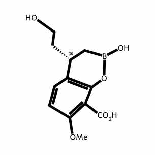 COc1ccc2c(c1C(=O)O)OB(O)C[C@H]2CCO